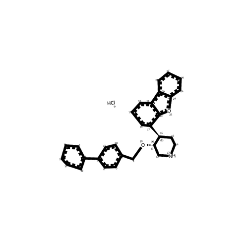 Cl.c1ccc(-c2ccc(CO[C@H]3CNCC[C@@H]3c3cccc4c3oc3ccccc34)cc2)cc1